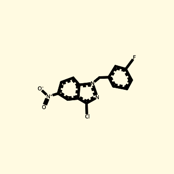 O=[N+]([O-])c1ccc2c(c1)c(Cl)nn2Cc1cccc(F)c1